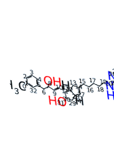 Cc1cccc(C[C@H](O)/C=C/[C@@H]2[C@H]3CC(CCCCCNc4ccccn4)=C[C@H]3C[C@H]2O)c1